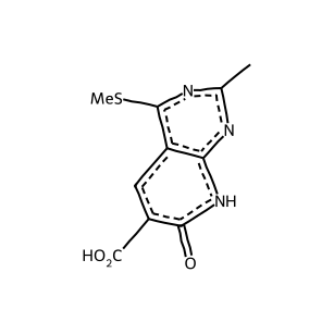 CSc1nc(C)nc2[nH]c(=O)c(C(=O)O)cc12